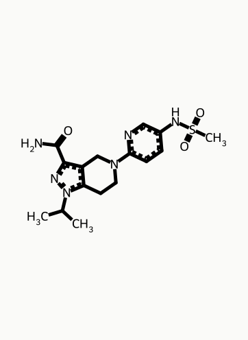 CC(C)n1nc(C(N)=O)c2c1CCN(c1ccc(NS(C)(=O)=O)cn1)C2